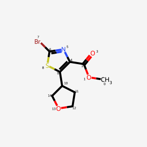 COC(=O)c1nc(Br)sc1C1CCOC1